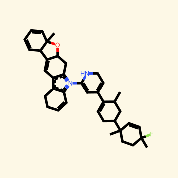 CC1CC(C2(C)C=CC(C)(F)CC2)CC=C1C1=CCNC(n2c3c(c4c2CC2OC5(C)C=CC=CC5C2=C4)CCC=C3)=C1